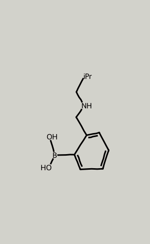 CC(C)CNCc1ccccc1B(O)O